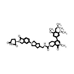 COc1cc(-c2cn(C)c(=O)c3c2CCN(C(=O)NCC2CC4CN(c5ccc6c(c5)CN([C@@H]5CCC(=O)NC5=O)C6=O)CC4C2)C3)cc(OC)c1CN(C)C